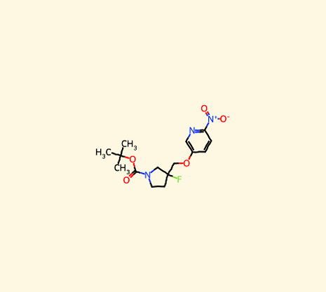 CC(C)(C)OC(=O)N1CCC(F)(COc2ccc([N+](=O)[O-])nc2)C1